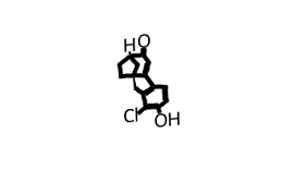 O=C1C=C2c3ccc(O)c(Cl)c3C[C@]23CC[C@@H]1C3